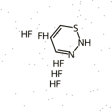 C1=CSNN=C1.F.F.F.F.F